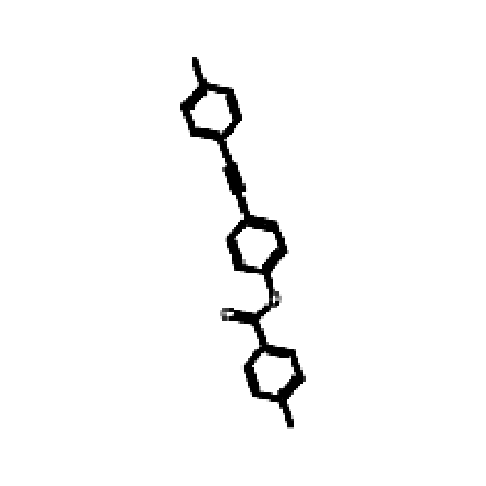 Cc1ccc(C#Cc2ccc(OC(=O)c3ccc(C)cc3)cc2)cc1